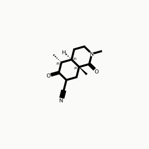 C[C@H]1C(=O)C(C#N)C[C@@]2(C)C(=O)N(C)CC[C@H]12